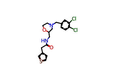 O=C(Cc1ccsc1)NCC1CN(Cc2ccc(Cl)c(Cl)c2)CCO1